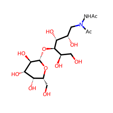 CC(=O)NN(C[C@H](O)[C@@H](O)[C@H](O[C@@H]1O[C@H](CO)[C@H](O)[C@H](O)[C@H]1O)[C@H](O)CO)C(C)=O